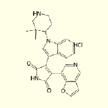 CC1(C)CNCCC1n1cc(C2=C(c3cncc4ccoc34)C(=O)NC2=O)c2ccccc21.Cl